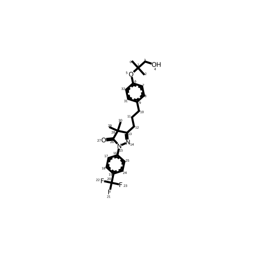 CC(C)(CO)Oc1ccc(CCCC2=NN(c3ccc(C(F)(F)F)cc3)C(=O)C2(C)C)cc1